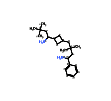 CC(C)(C)CC(N)C1CC(CC(C)(C)CC(N)c2ccccc2)C1